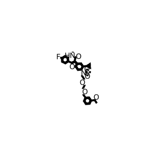 CNC(=O)c1c(-c2ccc(F)cc2)oc2cc(N(CCOCCOCc3cccc(C(C)=O)c3)S(C)(=O)=O)c(C3CC3)cc12